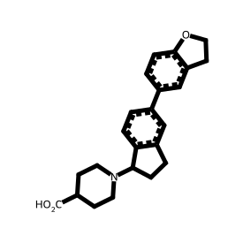 O=C(O)C1CCN(C2CCc3cc(-c4ccc5c(c4)CCO5)ccc32)CC1